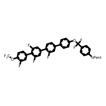 CCCCCc1ccc(C(F)(F)Oc2ccc(-c3ccc(-c4cc(F)c(-c5ccc(OC(F)(F)F)c(F)c5)c(F)c4)c(F)c3)cc2)cc1